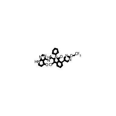 C[C@H](Nc1ncnc2[nH]ccc(=O)c12)c1c(Cl)c2cccc(-c3cnc(OCC(F)(F)F)nc3)c2c(=O)n1-c1ccccc1